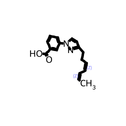 C/C=C\C=C/CCc1ccn(-c2cccc(C(=O)O)c2)n1